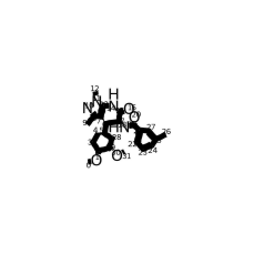 COC1CC[C@@H]([C@@H]2c3c(C)nn(C)c3NC(=O)[C@H]2NC(=O)c2cccc(C)c2)CC1OC